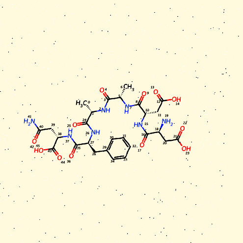 C[C@H](NC(=O)[C@H](C)NC(=O)[C@H](CC(=O)O)NC(=O)[C@@H](N)CC(=O)O)C(=O)N[C@@H](Cc1ccccc1)C(=O)N[C@@H](CC(N)=O)C(=O)O